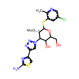 CO[C@@H]1C(Sc2cc(Cl)cnc2C)OC(CO)C(O)C1n1cc(-c2csc(N)n2)nn1